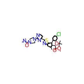 COC(=O)C(OC(C)(C)C)c1c(C)cc2nc(-c3ccnc(N4CCN(C(=O)N(C)C)CC4)n3)sc2c1-c1ccc(Cl)cc1